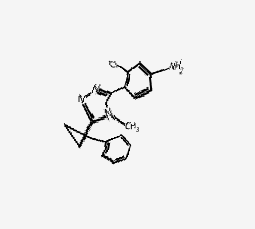 Cn1c(-c2ccc(N)cc2Cl)nnc1C1(c2ccccc2)CC1